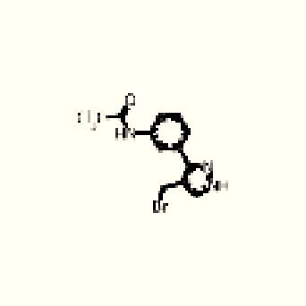 O=C(Nc1cccc(-c2n[nH]cc2CBr)c1)C(Cl)(Cl)Cl